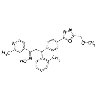 COCc1nnc(-c2ccc(C(CC(=NO)c3ccnc(C)c3)c3ccccc3C)cc2)o1